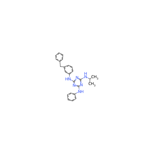 CC(C)Nc1nc(Nc2ccccc2)nc(Nc2cccc(Cc3ccccc3)c2)n1